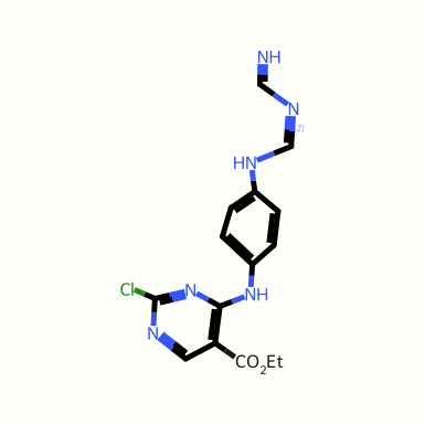 CCOC(=O)c1cnc(Cl)nc1Nc1ccc(N/C=N\C=N)cc1